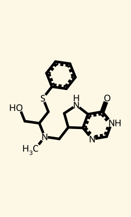 CN(CC1CNc2c1nc[nH]c2=O)C(CO)CSc1ccccc1